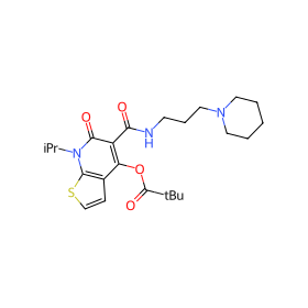 CC(C)n1c(=O)c(C(=O)NCCCN2CCCCC2)c(OC(=O)C(C)(C)C)c2ccsc21